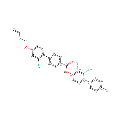 C=CCCOc1ccc(-c2ccc(C(=O)Oc3ccc(-c4ccc(C)cc4)c(F)c3F)cc2)c(F)c1